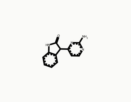 Nc1nccc(C2C(=O)Nc3ccccc32)n1